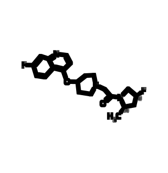 C[C@@H]1C[C@H](F)CN1C(=O)CN1CCC(Oc2ccnc3cc(F)ccc23)CC1